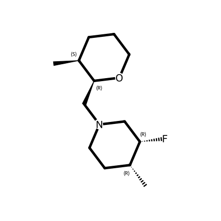 C[C@@H]1CCN(C[C@@H]2OCCC[C@@H]2C)C[C@@H]1F